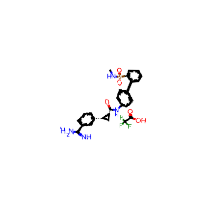 CNS(=O)(=O)c1ccccc1-c1ccc(NC(=O)[C@@H]2C[C@@H]2c2cccc(C(=N)N)c2)cc1.O=C(O)C(F)(F)F